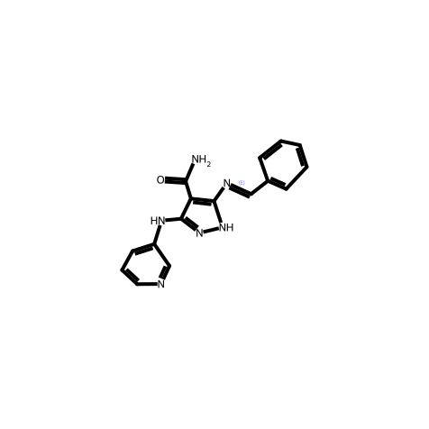 NC(=O)c1c(Nc2cccnc2)n[nH]c1/N=C/c1ccccc1